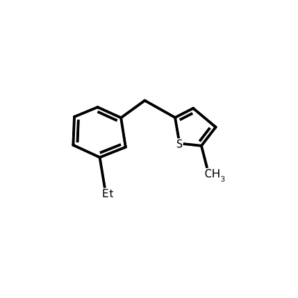 CCc1cccc(Cc2ccc(C)s2)c1